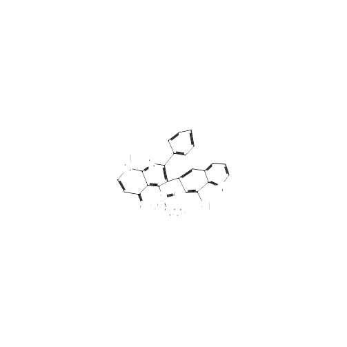 CNS(=O)(=O)c1c(-c2cc(Cl)c3ncccc3c2)c(-c2ccccc2)nc2[nH]ccc(=O)c12